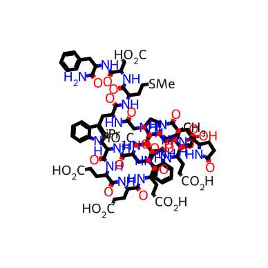 CSCCC(NC(=O)C(Cc1c[nH]c2ccccc12)NC(=O)CNC(=O)C(Cc1ccc(O)cc1)NC(=O)C(C)NC(=O)C(CCC(=O)O)NC(=O)C(CCC(=O)O)NC(=O)C(CCC(=O)O)NC(=O)C(CCC(=O)O)NC(=O)C(CCC(=O)O)NC(=O)C(CC(C)C)NC(=O)C(Cc1c[nH]c2ccccc12)NC(=O)C1CCCN1C(=O)CNC(=O)C1CCC(=O)N1)C(=O)NC(CC(=O)O)C(=O)NC(Cc1ccccc1)C(N)=O